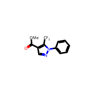 COC(=O)c1cnn(-c2ccccc2)c1C(F)(F)F